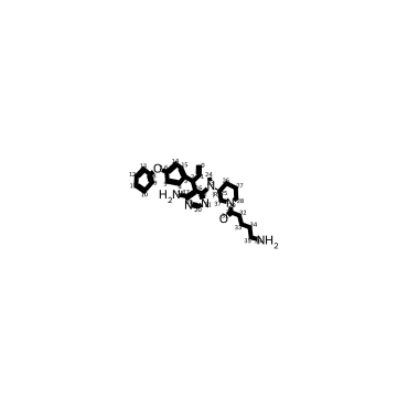 C=CC(c1ccc(Oc2ccccc2)cc1)c1c(N)ncnc1N(C)[C@@H]1CCCN(C(=O)CCCCN)C1